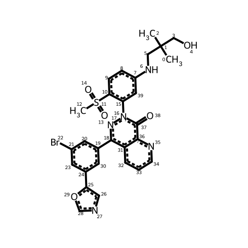 CC(C)(CO)CNc1ccc(S(C)(=O)=O)c(-n2nc(-c3cc(Br)cc(-c4cnco4)c3)c3cccnc3c2=O)c1